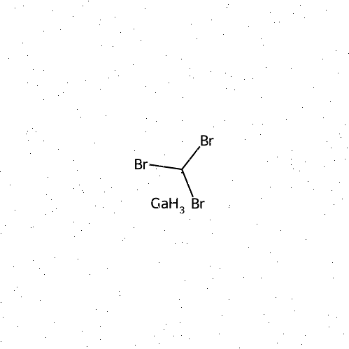 Br[C](Br)Br.[GaH3]